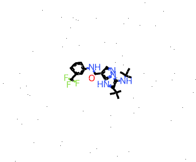 CC(C)(C)Nc1c(C(C)(C)C)[nH]c2c(C(=O)Nc3cccc(C(F)(F)F)c3)cnn12